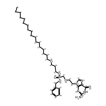 CCCCCCCCCCCCCCCCCCOCCCOP(=O)(COCCn1cnc2c(=O)[nH]c(N)nc21)OCc1ccccc1